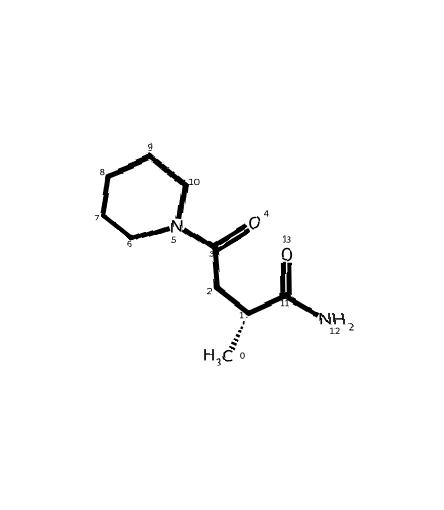 C[C@H](CC(=O)N1CCCCC1)C(N)=O